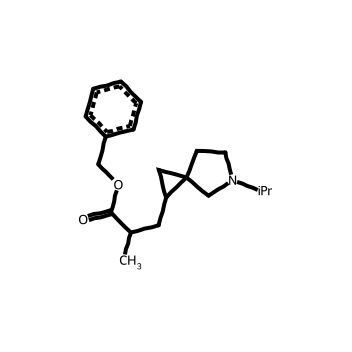 CC(CC1CC12CCN(C(C)C)C2)C(=O)OCc1ccccc1